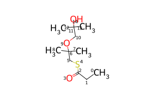 CCC(=O)SCC(C)(C)OCC(C)(C)O